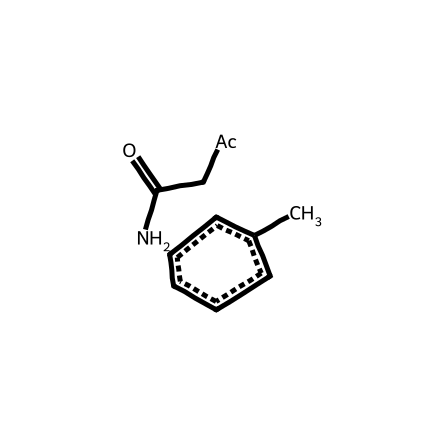 CC(=O)CC(N)=O.Cc1ccccc1